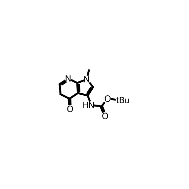 Cn1cc(NC(=O)OC(C)(C)C)c2c1N=CCC2=O